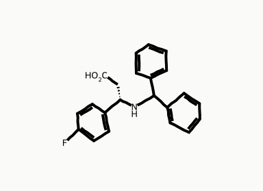 O=C(O)C[C@H](NC(c1ccccc1)c1ccccc1)c1ccc(F)cc1